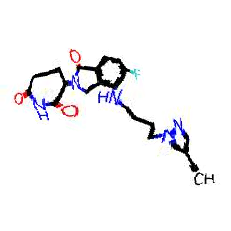 C#Cc1cnn(CCCCNc2c(F)ccc3c2CN(C2CCC(=O)NC2=O)C3=O)c1